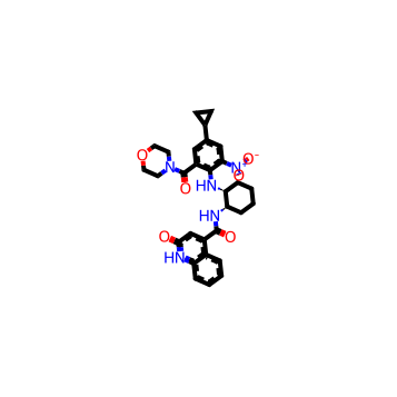 O=C(N[C@H]1CCCC[C@H]1Nc1c(C(=O)N2CCOCC2)cc(C2CC2)cc1[N+](=O)[O-])c1cc(=O)[nH]c2ccccc12